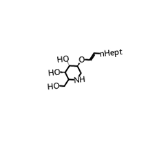 CCCCCCC/C=C/O[C@H]1CNC(CO)[C@@H](O)[C@@H]1O